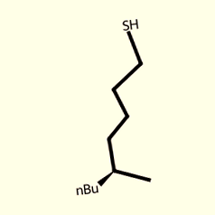 CCCC[C@H](C)CCCCS